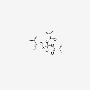 C=C(C)C(=O)OC1(C)OC1(OC(=O)C(=C)C)OC(=O)C(=C)C